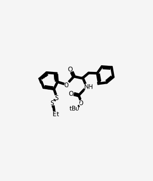 CCSSc1ccccc1OC(=O)C(Cc1ccccc1)NC(=O)OC(C)(C)C